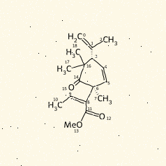 C=C(C)[C@@H]1C=C[C@@](C)(/C(=C/C)C(=O)OC)C(=O)C1(C)C